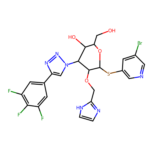 OCC1OC(Sc2cncc(Br)c2)C(OCc2ncc[nH]2)C(n2cc(-c3cc(F)c(F)c(F)c3)nn2)C1O